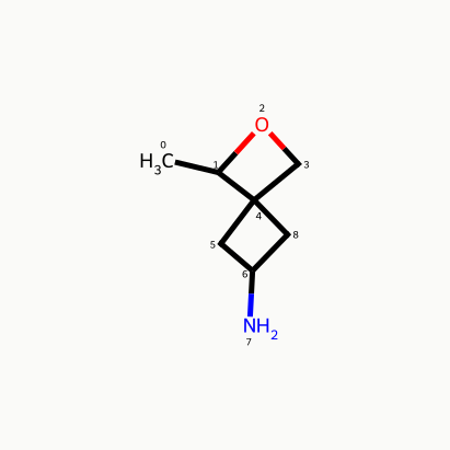 CC1OCC12CC(N)C2